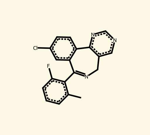 Cc1cccc(F)c1C1=NCc2cncnc2-c2ccc(Cl)cc21